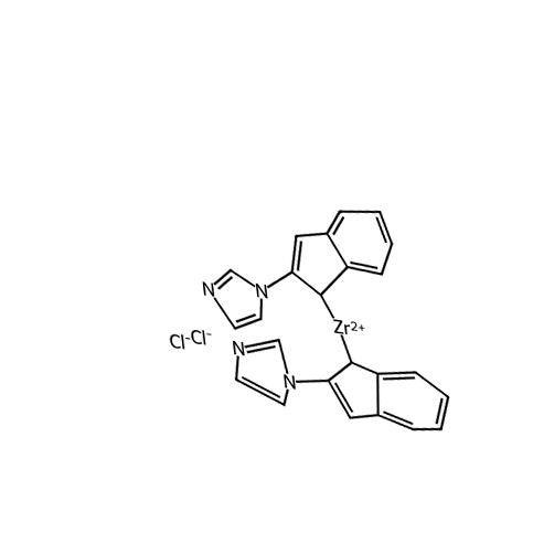 C1=C(n2ccnc2)[CH]([Zr+2][CH]2C(n3ccnc3)=Cc3ccccc32)c2ccccc21.[Cl-].[Cl-]